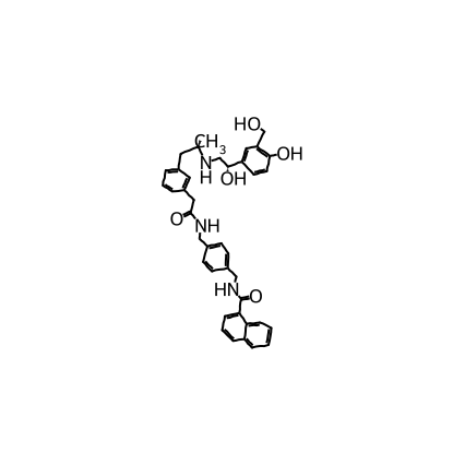 C[C@H](Cc1cccc(CC(=O)NCc2ccc(CNC(=O)c3cccc4ccccc34)cc2)c1)NC[C@@H](O)c1ccc(O)c(CO)c1